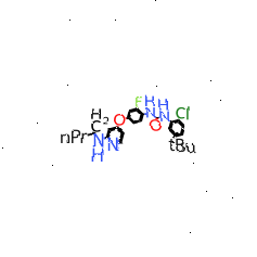 C=C(CCC)Nc1cc(Oc2ccc(NC(=O)Nc3cc(C(C)(C)C)ccc3Cl)c(F)c2)ccn1